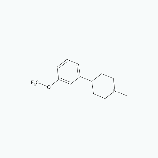 CN1CCC(c2cccc(OC(F)(F)F)c2)CC1